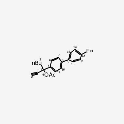 C#CC(CCCC)(OC(C)=O)c1ccc(-c2ccc(F)cc2)cc1